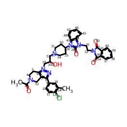 CC(=O)N1CCc2c(c(-c3ccc(Cl)c(C)c3)nn2CC(O)CN2CCC(n3c(=O)n(CCN4C(=O)c5ccccc5C4=O)c4ccccc43)CC2)C1